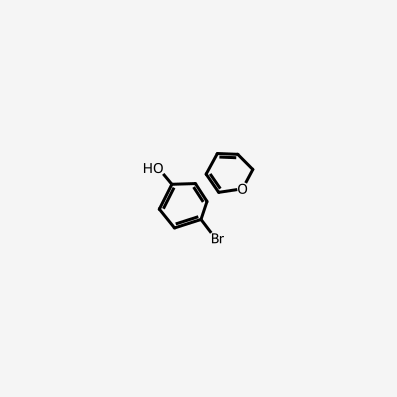 C1=CCOC=C1.Oc1ccc(Br)cc1